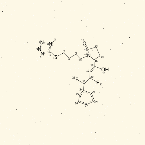 Cn1nnnc1SCCCCN1C(=O)CC[C@@H]1C(O)=CC(F)C(F)c1ccccc1